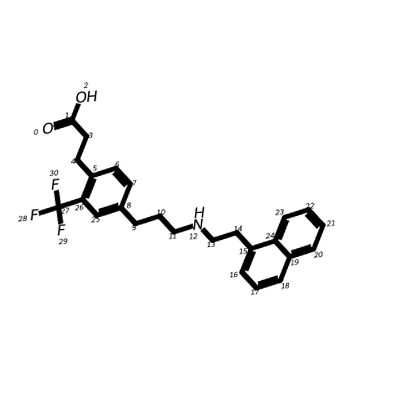 O=C(O)CCc1ccc(CCCNCCc2cccc3ccccc23)cc1C(F)(F)F